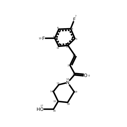 O=C(/C=C/c1cc(F)cc(F)c1)N1CCC(CO)CC1